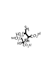 O=C(O)C(S)C(S)C(=O)O.O=C(O)CC(S)(S)C(=O)O